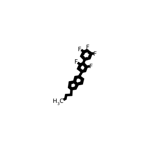 CCCCc1ccc2cc(-c3cc(F)c(-c4cc(F)c(F)c(F)c4)c(F)c3)ccc2c1